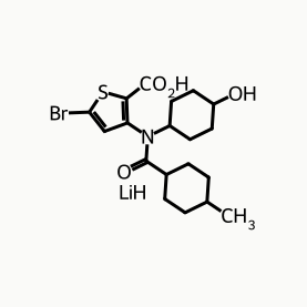 CC1CCC(C(=O)N(c2cc(Br)sc2C(=O)O)C2CCC(O)CC2)CC1.[LiH]